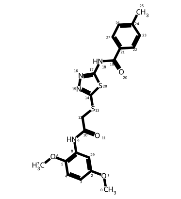 COc1ccc(OC)c(NC(=O)CSc2nnc(NC(=O)c3ccc(C)cc3)s2)c1